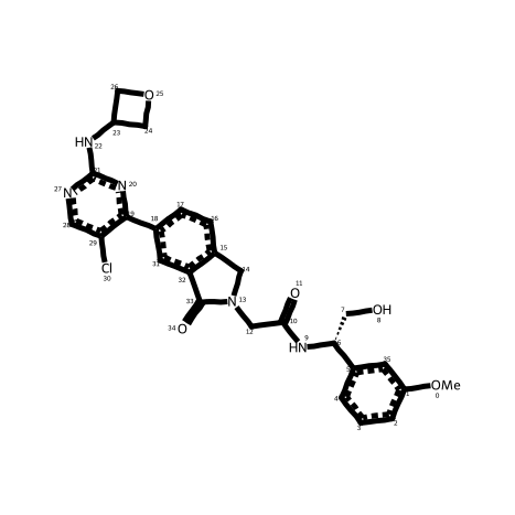 COc1cccc([C@@H](CO)NC(=O)CN2Cc3ccc(-c4nc(NC5COC5)ncc4Cl)cc3C2=O)c1